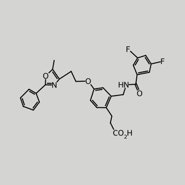 Cc1oc(-c2ccccc2)nc1CCOc1ccc(CCC(=O)O)c(CNC(=O)c2cc(F)cc(F)c2)c1